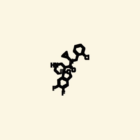 O=C(C1CNCC[C@@]12OCc1cc(F)c(F)cc12)N(Cc1ccccc1Cl)C1CC1